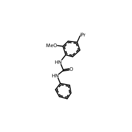 COc1cc(C(C)C)ccc1NC(=O)Nc1ccccc1